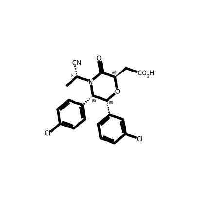 C[C@H](C#N)N1C(=O)[C@@H](CC(=O)O)O[C@H](c2cccc(Cl)c2)[C@@H]1c1ccc(Cl)cc1